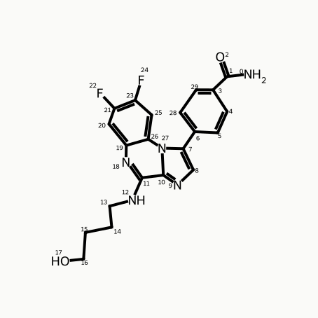 NC(=O)c1ccc(-c2cnc3c(NCCCCO)nc4cc(F)c(F)cc4n23)cc1